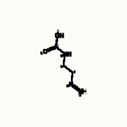 N=NCCNC(=O)O